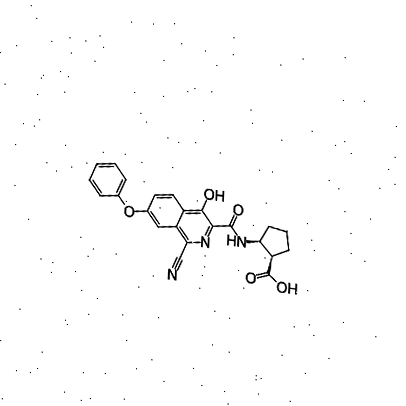 N#Cc1nc(C(=O)N[C@H]2CCC[C@H]2C(=O)O)c(O)c2ccc(Oc3ccccc3)cc12